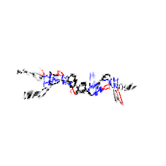 CC[C@H](C)[C@H](NC(=O)OC)C(=O)N1[C@@H](C)CC[C@H]1c1ncc(-c2ccc3c(c2)COc2cc4c(ccc5nc([C@@H]6C[C@H](COC)CN6C(=O)[C@H](C)NC(=O)OC)[nH]c54)cc2-3)[nH]1